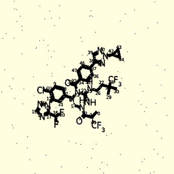 C[C@@H](C(=O)NC[C@H](c1ccc(Cl)c(-n2ncnc2C(F)F)c1)N(C(=N)NCCC(C)(C)C(F)(F)F)C(=O)c1ccc(-c2cnn(C3CC3)n2)cc1)C(F)(F)F